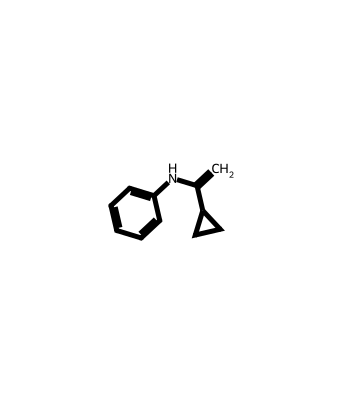 C=C(Nc1ccccc1)C1CC1